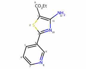 CCOC(=O)c1sc(-c2cccnc2)nc1N